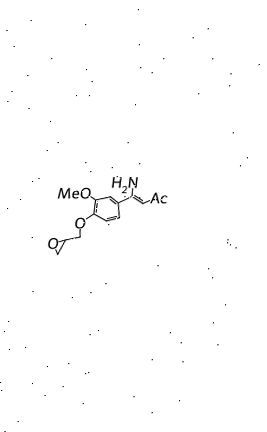 COc1cc(C(N)=CC(C)=O)ccc1OCC1CO1